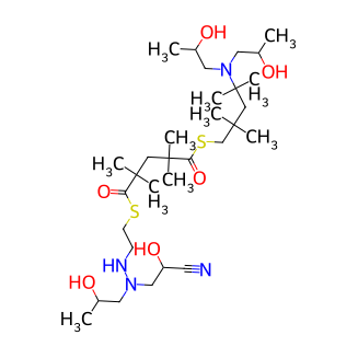 CC(O)CN(CC(O)C#N)NCCSC(=O)C(C)(C)CC(C)(C)C(=O)SCC(C)(C)CC(C)(C)N(CC(C)O)CC(C)O